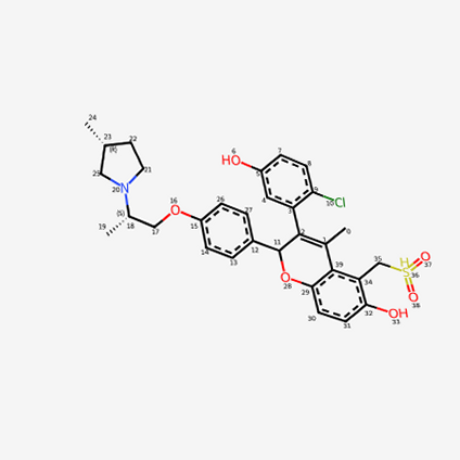 CC1=C(c2cc(O)ccc2Cl)C(c2ccc(OC[C@H](C)N3CC[C@@H](C)C3)cc2)Oc2ccc(O)c(C[SH](=O)=O)c21